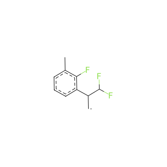 [CH2]C(c1cccc(C)c1F)C(F)F